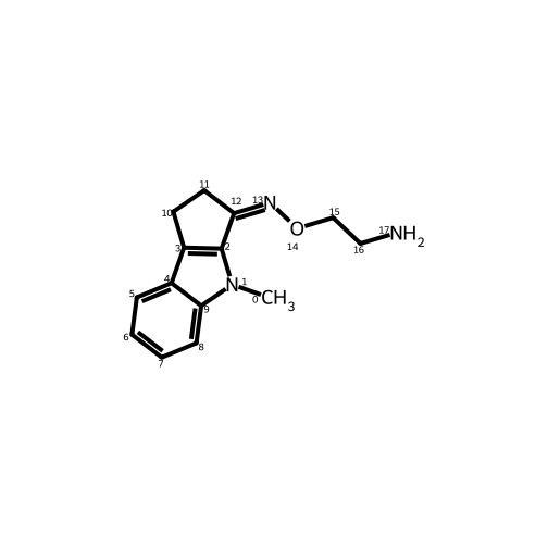 Cn1c2c(c3ccccc31)CCC2=NOCCN